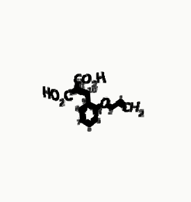 C=CCOc1ccccc1C=C(C(=O)O)C(=O)O